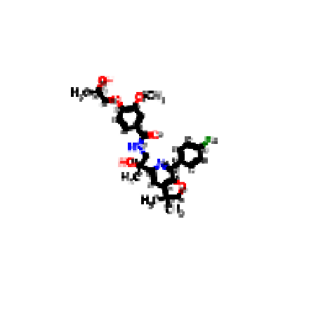 COc1cc(C(=O)NC[C@](C)(O)c2cc3c(c(-c4ccc(F)cc4)n2)OCC3(C)C)ccc1OC[C@@H](C)O